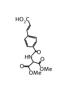 COC(=O)C(NC(=O)c1ccc(C=CC(=O)O)cc1)C(=O)OC